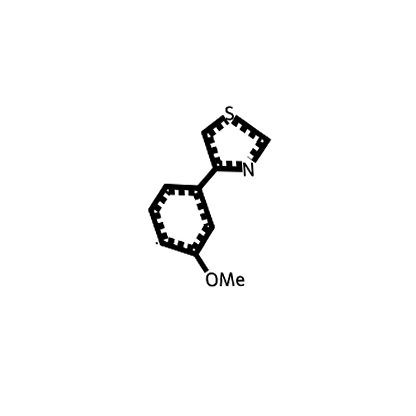 COc1[c]ccc(-c2cscn2)c1